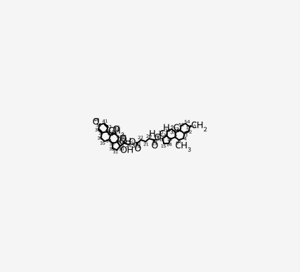 C=C1C=C2C[C@@H](C)C3C(CC[C@@]4(C)C3CC[C@@H]4OC(=O)CCCC(=O)OCC(=O)[C@@]3(O)CCC4C5CCC6=CC(=O)C=C[C@]6(C)C5C(=O)C[C@@]43C)[C@@]2(C)CC1